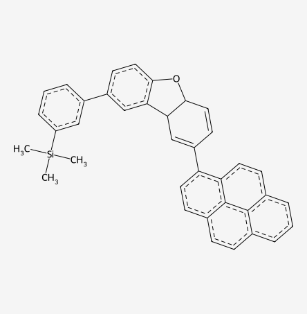 C[Si](C)(C)c1cccc(-c2ccc3c(c2)C2C=C(c4ccc5ccc6cccc7ccc4c5c67)C=CC2O3)c1